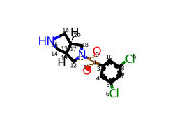 O=S(=O)(c1cc(Cl)cc(Cl)c1)N1C[C@H]2CNC[C@H]2C1